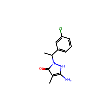 Cc1c(N)[nH]n(C(C)c2cccc(Cl)c2)c1=O